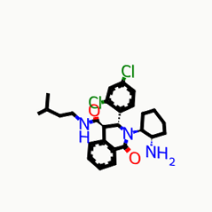 CC(C)CCNC(=O)[C@@H]1c2ccccc2C(=O)N([C@H]2CCCC[C@@H]2N)[C@H]1c1ccc(Cl)cc1Cl